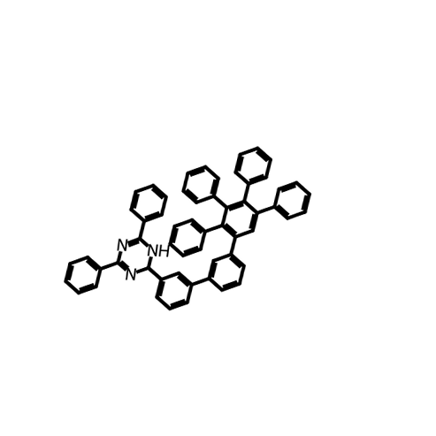 c1ccc(C2=NC(c3cccc(-c4cccc(-c5cc(-c6ccccc6)c(-c6ccccc6)c(-c6ccccc6)c5-c5ccccc5)c4)c3)NC(c3ccccc3)=N2)cc1